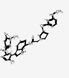 CNc1ccnc(O[C@H]2CCN(CC(=O)Nc3cccc4c(-c5nc(Nc6cc(C)n(C)n6)ncc5C)c[nH]c34)C2)n1